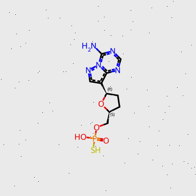 Nc1ncnc2c([C@H]3CC[C@@H](COP(=O)(O)S)O3)cnn12